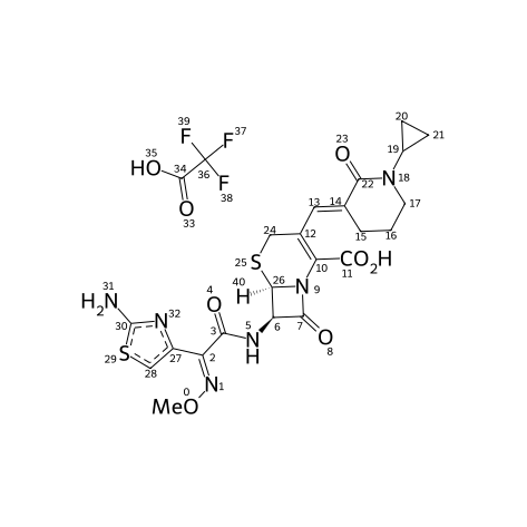 CON=C(C(=O)N[C@@H]1C(=O)N2C(C(=O)O)=C(C=C3CCCN(C4CC4)C3=O)CS[C@H]12)c1csc(N)n1.O=C(O)C(F)(F)F